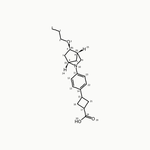 CCCO[C@@H]1C[C@@H]2C[C@H]1CN2c1ccc(C2CC(C(=O)O)C2)cc1